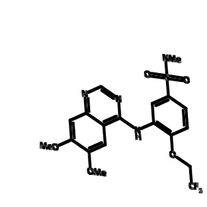 CNS(=O)(=O)c1ccc(OCC(F)(F)F)c(Nc2ncnc3cc(OC)c(OC)cc23)c1